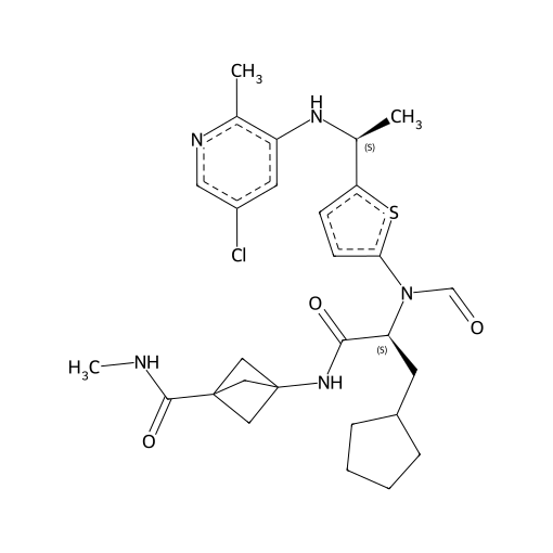 CNC(=O)C12CC(NC(=O)[C@H](CC3CCCC3)N(C=O)c3ccc([C@H](C)Nc4cc(Cl)cnc4C)s3)(C1)C2